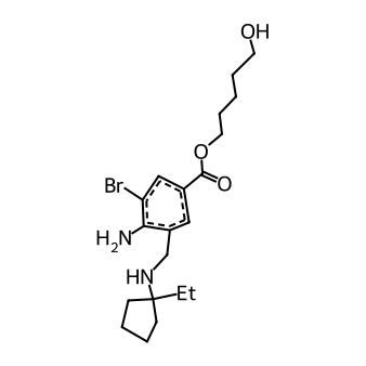 CCC1(NCc2cc(C(=O)OCCCCCO)cc(Br)c2N)CCCC1